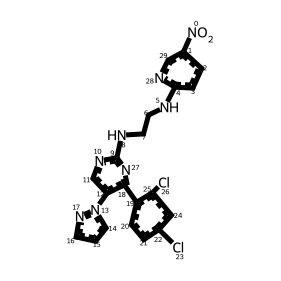 O=[N+]([O-])c1ccc(NCCNc2ncc(-n3cccn3)c(-c3ccc(Cl)cc3Cl)n2)nc1